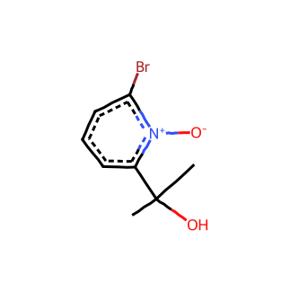 CC(C)(O)c1cccc(Br)[n+]1[O-]